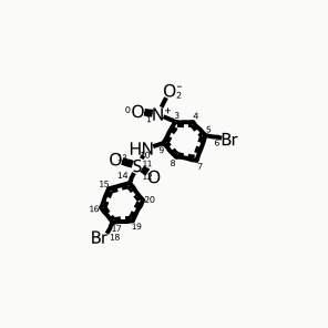 O=[N+]([O-])c1cc(Br)ccc1NS(=O)(=O)c1ccc(Br)cc1